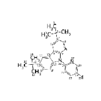 CC(C)(C)c1ccc2c(c1)c1cc(C(C)(C)C)ccc1n2-c1ccc(I)cn1